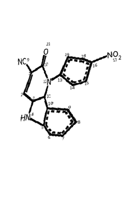 N#CC1=CC2Nc3ccccc3C2N(c2ccc([N+](=O)[O-])cc2)C1=O